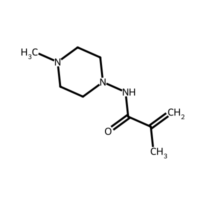 C=C(C)C(=O)NN1CCN(C)CC1